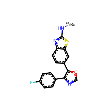 CC[C@@H](C)Nc1nc2ccc(-c3ocnc3-c3ccc(F)cc3)cc2s1